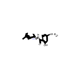 CC(C)=C/C(C)=N/NC(=O)c1ccc(N)cc1O